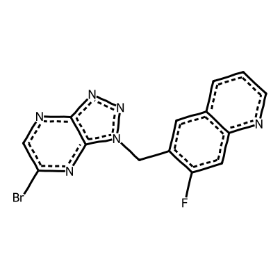 Fc1cc2ncccc2cc1Cn1nnc2ncc(Br)nc21